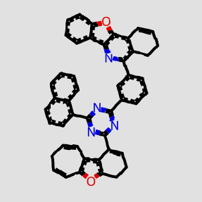 C1=Cc2oc3c(c2C=CC1)C(c1nc(-c2cccc(-c4nc5c(oc6ccccc65)c5c4CCC=C5)c2)nc(-c2cccc4ccccc24)n1)=CCC3